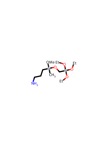 CCO[Si](CO[Si](C)(CCCN)OC)(OCC)OCC